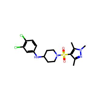 Cc1nn(C)c(C)c1S(=O)(=O)N1CCC(Nc2ccc(Cl)c(Cl)c2)CC1